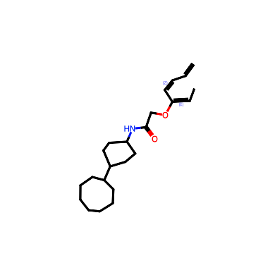 C=C/C=C\C(=C/C)OCC(=O)NC1CCC(C2CCCCCCC2)CC1